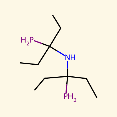 CCC(P)(CC)NC(P)(CC)CC